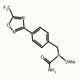 CON(Cc1ccc(-c2noc(C(F)(F)F)n2)cc1)C(N)=O